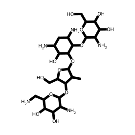 CC1C(OC2C(O)C(N)CC(N)C2OC2OC(CO)C(O)C(O)C2N)OC(CO)C1OC1OC(CN)C(O)C(O)C1N